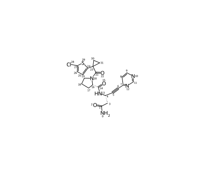 NC(=O)C[C@@H](C#Cc1ccncn1)NC(=O)[C@@H]1CCCN1C(=O)C1(c2ccc(Cl)s2)CC1